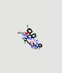 COC(=O)NC(C(N)c1cncc(F)c1CCC1CN(C(=O)O)C(c2nc3ccccc3[nH]2)CO1)C(c1ccc(F)cc1)c1ccc(F)cc1